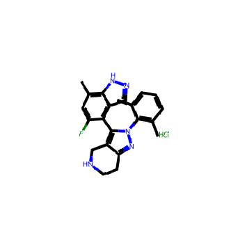 Cc1cccc(C)c1-n1nc2c(c1-c1c(F)cc(C)c3[nH]ncc13)CNCC2.Cl